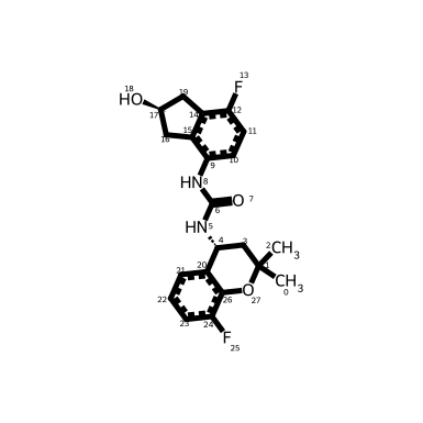 CC1(C)C[C@@H](NC(=O)Nc2ccc(F)c3c2C[C@@H](O)C3)c2cccc(F)c2O1